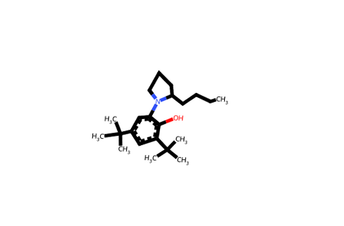 CCCCC1CCCN1c1cc(C(C)(C)C)cc(C(C)(C)C)c1O